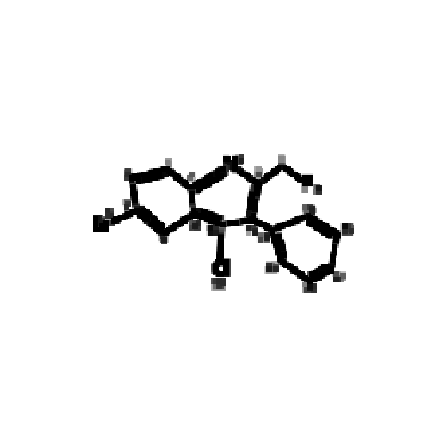 FCc1nc2ccc(Br)cc2c(Cl)c1-c1ccccc1